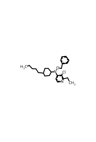 CCCCCC1CCC(N(OCc2ccccc2)c2ccnc(CC)c2Cl)CC1